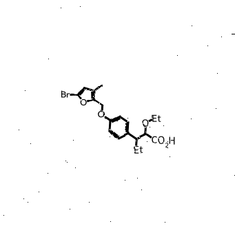 CCOC(C(=O)O)C(CC)c1ccc(OCc2oc(Br)cc2C)cc1